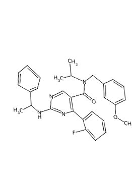 COc1cccc(CN(C(=O)c2cnc(NC(C)c3ccccc3)nc2-c2ccccc2F)C(C)C)c1